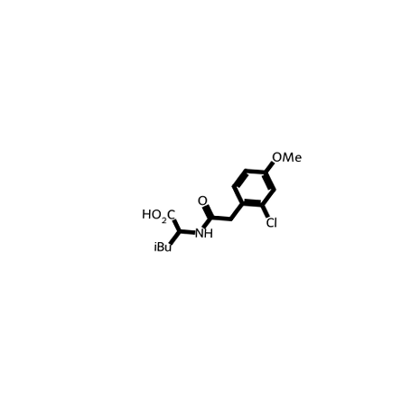 CCC(C)C(NC(=O)Cc1ccc(OC)cc1Cl)C(=O)O